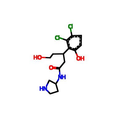 O=C(CC(CCO)c1c(O)ccc(Cl)c1Cl)NC1CCNC1